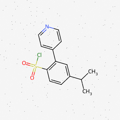 CC(C)c1ccc(S(=O)(=O)Cl)c(-c2ccncc2)c1